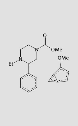 CCN1CCN(C(=O)OC)CC1c1ccccc1.COc1ccc2cc1-2